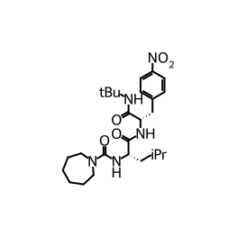 CC(C)C[C@H](NC(=O)N1CCCCCC1)C(=O)N[C@@H](Cc1ccc([N+](=O)[O-])cc1)C(=O)NC(C)(C)C